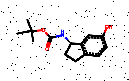 CC(C)(C)OC(=O)N[C@H]1CCc2ccc(O)cc21